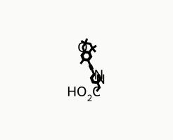 Cc1cc2c(cc1C#Cc1ccc(CC(=O)O)nn1)C(C)(C)CC(C)(C)O2